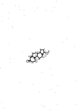 COC1CCC2C3CCC4=CC(=O)CC[C@]4(C)C3CC[C@]12C